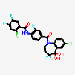 O=C(Nc1ccc(C(=O)N2CCC(F)(F)C(O)(O)c3cc(Cl)ccc32)cc1F)c1cc(F)c(F)cc1Cl